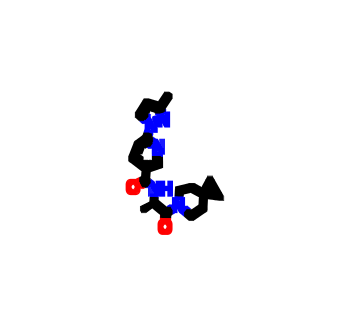 Cc1ccn(-c2ccc(C(=O)N[C@H](C)C(=O)N3CCC4(CC3)CC4)cn2)n1